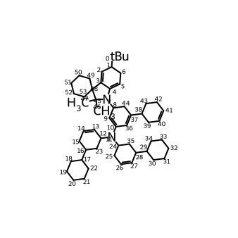 CC(C)(C)C1C=C2C(=CC1)N(C1C=C(N(C3C=CCC(C4CCCCC4)C3)C3CC=CC(C4CCCCC4)C3)C=C(C3CC=CCC3)C1)C(C)(C)C21CCCCC1